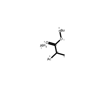 CCCCOC(=O)C(C)C(C)=O.[AlH3]